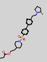 CCC(=O)OCCC1CCN(S(=O)(=O)c2ccc(-c3ccc(CCN4CCC[C@H]4C)cc3)cc2)CC1